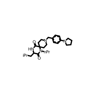 CCCN1C(=O)C(CC(C)C)NC(=O)C12CCN(Cc1ccc(N3CCCC3)cc1)CC2